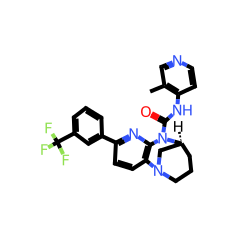 Cc1cnccc1NC(=O)N1c2nc(-c3cccc(C(F)(F)F)c3)ccc2N2CCC[C@H]1C2